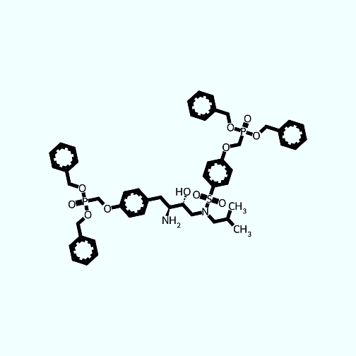 CC(C)CN(C[C@@H](O)[C@@H](N)Cc1ccc(OCP(=O)(OCc2ccccc2)OCc2ccccc2)cc1)S(=O)(=O)c1ccc(OCP(=O)(OCc2ccccc2)OCc2ccccc2)cc1